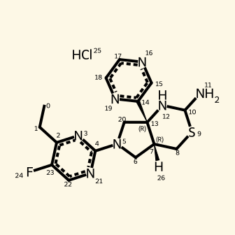 CCc1nc(N2C[C@H]3CSC(N)N[C@@]3(c3cnccn3)C2)ncc1F.Cl